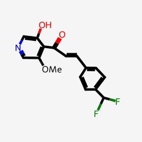 COc1cncc(O)c1C(=O)C=Cc1ccc(C(F)F)cc1